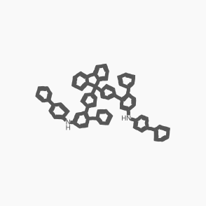 c1ccc(-c2ccc(Nc3ccc(-c4ccccc4)c(-c4ccc(C5(c6ccc(-c7cc(Nc8ccc(-c9ccccc9)cc8)ccc7-c7ccccc7)cc6)c6ccccc6-c6ccccc65)cc4)c3)cc2)cc1